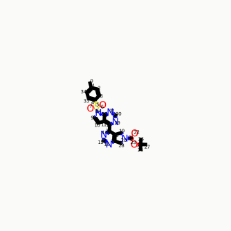 Cc1ccc(S(=O)(=O)n2ccc3c(-c4ncnc5c4CN(C(=O)OC(C)(C)C)C5)ncnc32)cc1